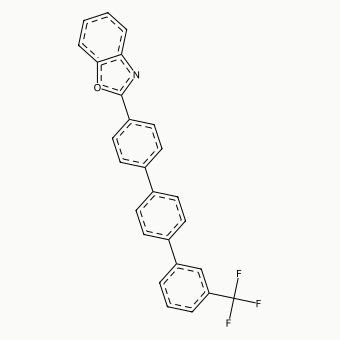 FC(F)(F)c1cccc(-c2ccc(-c3ccc(-c4nc5ccccc5o4)cc3)cc2)c1